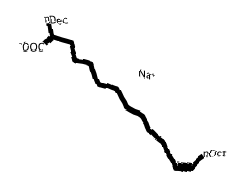 CCCCCCCC/C=C\CCCCCCCCCC(CCCCCCCCCC)C(=O)[O-].[Na+]